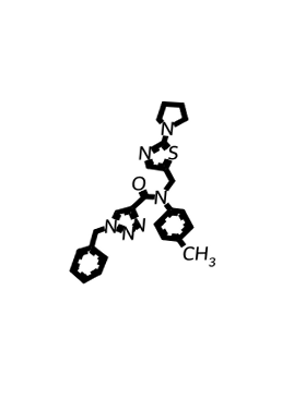 Cc1ccc(N(Cc2cnc(N3CCCC3)s2)C(=O)c2cn(Cc3ccccc3)nn2)cc1